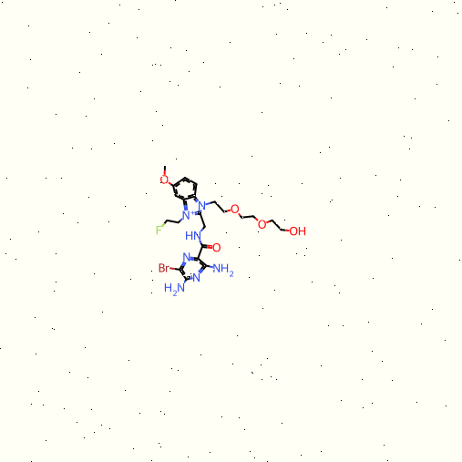 COc1ccc2c(c1)[n+](CCF)c(CNC(=O)c1nc(Br)c(N)nc1N)n2CCOCCOCCO